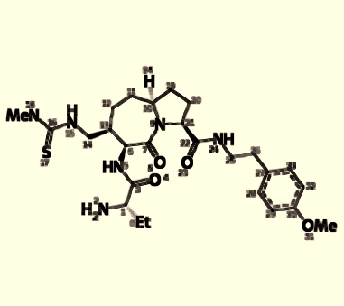 CC[C@H](N)C(=O)N[C@@H]1C(=O)N2[C@@H](CC[C@@H]1CNC(=S)NC)CC[C@H]2C(=O)NCCc1ccc(OC)cc1